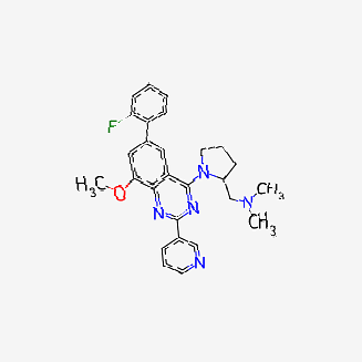 COc1cc(-c2ccccc2F)cc2c(N3CCCC3CN(C)C)nc(-c3cccnc3)nc12